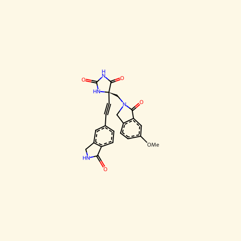 COc1ccc2c(c1)C(=O)N(C[C@@]1(C#Cc3ccc4c(c3)CNC4=O)NC(=O)NC1=O)C2